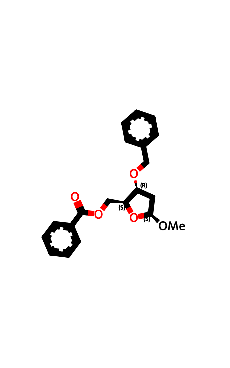 CO[C@@H]1C[C@@H](OCc2ccccc2)[C@H](COC(=O)c2ccccc2)O1